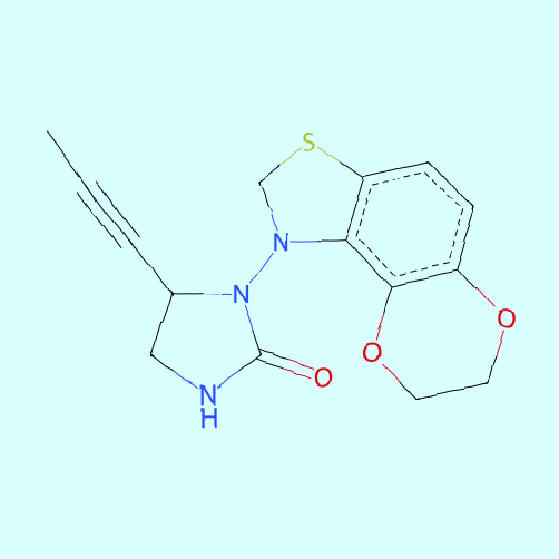 CC#CC1CNC(=O)N1N1CSc2ccc3c(c21)OCCO3